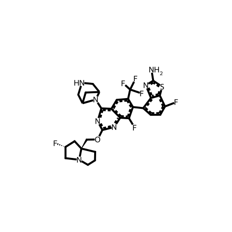 Nc1nc2c(-c3c(C(F)(F)F)cc4c(N5C6CNCC5C6)nc(OC[C@@]56CCCN5C[C@H](F)C6)nc4c3F)ccc(F)c2s1